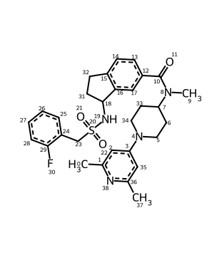 Cc1cc(N2CCC(N(C)C(=O)c3ccc4c(c3)C(NS(=O)(=O)Cc3ccccc3F)CC4)CC2)cc(C)n1